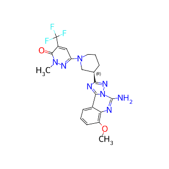 COc1cccc2c1nc(N)n1nc([C@@H]3CCCN(c4cc(C(F)(F)F)c(=O)n(C)n4)C3)nc21